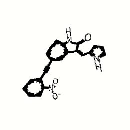 O=C1Nc2ccc(C#Cc3ccccc3[N+](=O)[O-])cc2/C1=C/c1ccc[nH]1